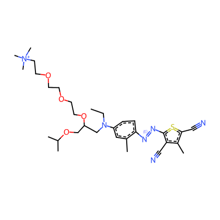 CCN(CC(COC(C)C)OCCOCCOCC[N+](C)(C)C)c1ccc(/N=N/c2sc(C#N)c(C)c2C#N)c(C)c1